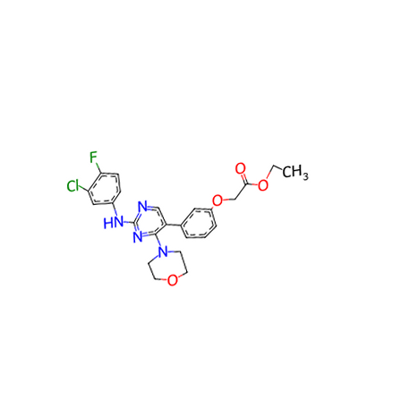 CCOC(=O)COc1cccc(-c2cnc(Nc3ccc(F)c(Cl)c3)nc2N2CCOCC2)c1